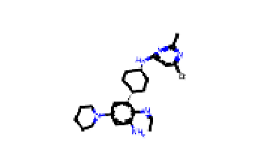 C/C=N\c1c(N)cc(N2CCCCC2)cc1[C@H]1CC[C@@H](Nc2cc(CC)nc(C)n2)CC1